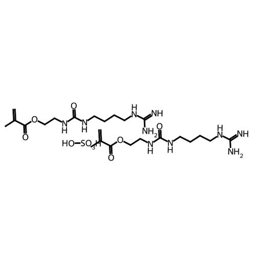 C=C(C)C(=O)OCCNC(=O)NCCCCNC(=N)N.C=C(C)C(=O)OCCNC(=O)NCCCCNC(=N)N.O=S(=O)(O)O